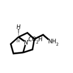 NCC1CC2CC[C@@H](C1)N2C(=O)O